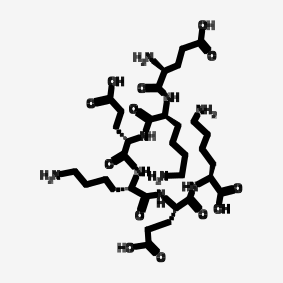 NCCCC[C@H](NC(=O)[C@H](CCC(=O)O)NC(=O)[C@H](CCCCN)NC(=O)[C@H](CCC(=O)O)NC(=O)[C@H](CCCCN)NC(=O)[C@@H](N)CCC(=O)O)C(=O)O